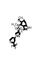 COc1ccc2[nH]nc(C)c2c1N(C)S(=O)(=O)c1cnn(-c2ccnc(C(F)(F)F)c2)c1